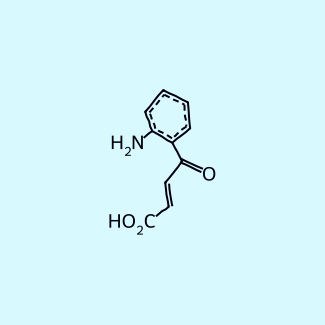 Nc1ccccc1C(=O)/C=C/C(=O)O